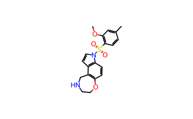 COc1cc(C)ccc1S(=O)(=O)n1ccc2c3c(ccc21)OCCNC3